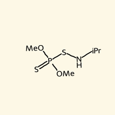 COP(=S)(OC)SNC(C)C